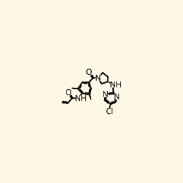 C=CC(=O)Nc1c(C)cc(C(=O)N2CC[C@@H](Nc3ncc(Cl)cn3)C2)cc1C